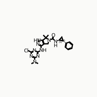 CN(C)c1nc(Cl)nc(Nc2n[nH]c3c2CN(C(=O)N[C@H]2C[C@@H]2c2ccccc2)C3(C)C)n1